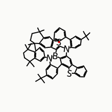 CC(C)(C)c1ccc(N2c3cc4c(sc5ccccc54)c4c3B(c3c2sc2cc5c(cc32)C(C)(C)CCC5(C)C)N(c2ccc3c(c2)C(C)(C)CCC3(C)C)c2cc(C(C)(C)C)ccc2-4)c(-c2ccccc2)c1